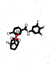 N#C[C@H]1CC2CC[C@H](C1)C2S(=O)(=O)c1cc(C(=O)Nc2cc(F)c(F)c(F)c2)ccc1Cl